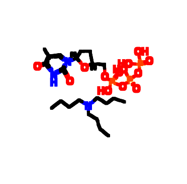 CCCCN(CCCC)CCCC.Cc1cn([C@H]2CC[C@@H](COP(=O)(O)OP(=O)(O)OP(=O)(O)O)O2)c(=O)[nH]c1=O